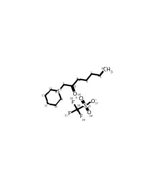 CCCCCC(=O)C[S+]1CCCCC1.O=S(=O)([O-])C(F)(F)F